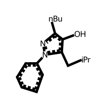 CCCCc1nn(-c2ccccc2)c(CC(C)C)c1O